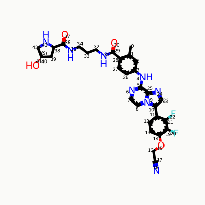 Cc1cc(Nc2nccn3c(-c4ccc(OCC#N)c(F)c4F)cnc23)ccc1C(=O)NCCCNC(=O)C1C[C@H](O)CN1